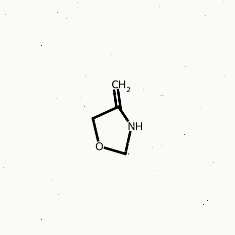 C=C1CO[CH]N1